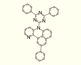 c1ccc(-c2cc3c4c(cccc4c2)N(c2nc(-c4ccccc4)nc(-c4ccccc4)n2)c2cccnc2-3)cc1